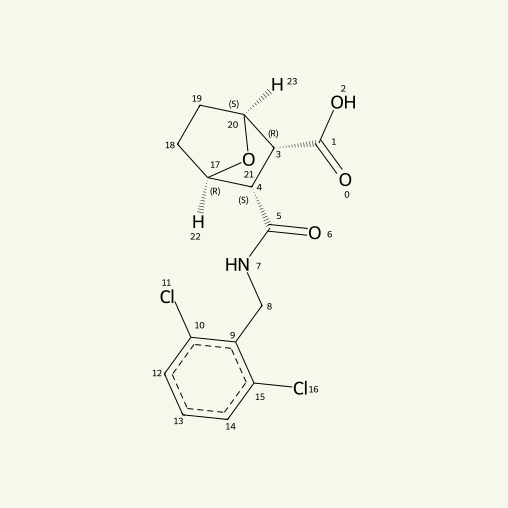 O=C(O)[C@@H]1[C@H](C(=O)NCc2c(Cl)cccc2Cl)[C@H]2CC[C@@H]1O2